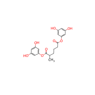 CC(CCCC(=O)Oc1cc(O)cc(O)c1)C(=O)Oc1cc(O)cc(O)c1